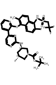 Cc1ccc2c(NS(=O)(=O)CC(F)(F)F)c(F)ccc2c1Oc1ncccc1-c1ccnc(N[C@@H]2C[C@@H](F)CN(C(=O)OC(C)(C)C)C2)n1